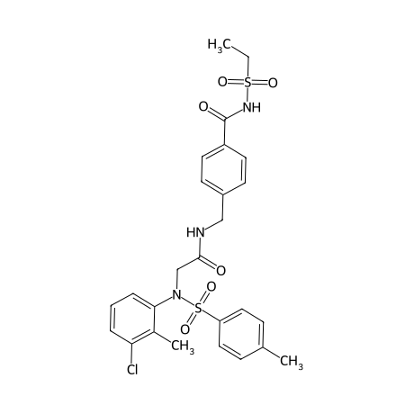 CCS(=O)(=O)NC(=O)c1ccc(CNC(=O)CN(c2cccc(Cl)c2C)S(=O)(=O)c2ccc(C)cc2)cc1